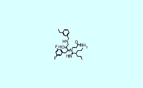 CCCC(CCC)C(=N)N(CCC(N)=O)[C@@H](Cc1cc(F)cc(F)c1)[C@H](O)CNCc1cccc(CC)c1